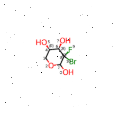 OC1OC[C@@H](O)[C@@H](O)[C@]1(F)Br